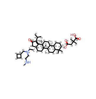 CNCCN(CC[C@@]12CC[C@]3(C)[C@H](CCC4[C@@]5(C)CC[C@H](OC(=O)CC(C)(C)C(=O)O)C(C)(C)C5CC[C@]43C)C1=C(C(C)C)C(=O)C2)CC1CCC1